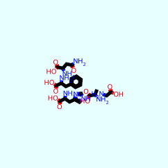 CC(N)C(=O)O.NC(=O)CC(N)C(=O)O.NC(Cc1c[nH]cn1)C(=O)O.NC(Cc1ccccc1)C(=O)O.NCC(=O)O